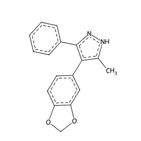 Cc1[nH]nc(-c2ccccc2)c1-c1ccc2c(c1)OCO2